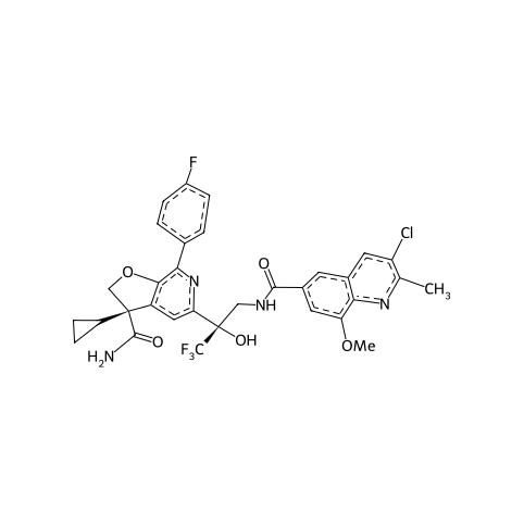 COc1cc(C(=O)NC[C@](O)(c2cc3c(c(-c4ccc(F)cc4)n2)OC[C@]3(C(N)=O)C2CC2)C(F)(F)F)cc2cc(Cl)c(C)nc12